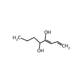 C=C/C=C(\O)C(O)CCC